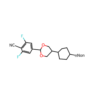 CCCCCCCCCC1CCC(C2COC(c3cc(F)c(C#N)c(F)c3)OC2)CC1